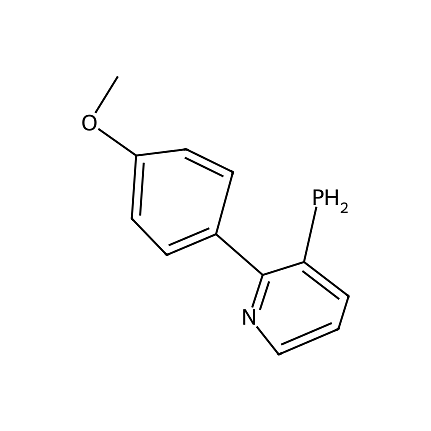 COc1ccc(-c2ncccc2P)cc1